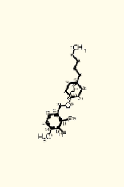 CCCCCC12CCC(OCc3ccc(C)c(F)c3F)(CC1)CC2